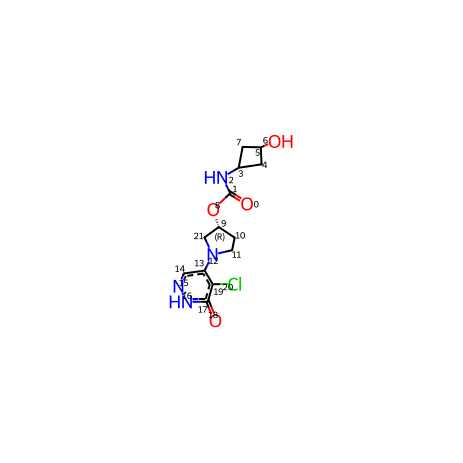 O=C(NC1CC(O)C1)O[C@@H]1CCN(c2cn[nH]c(=O)c2Cl)C1